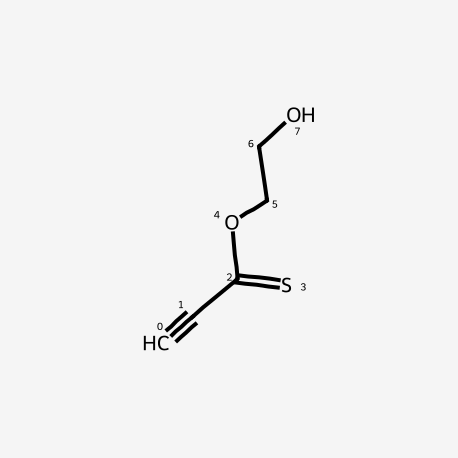 C#CC(=S)OCCO